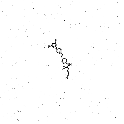 N#CCCCC(=O)N[C@H]1CC[C@H](CCN2CCN(c3cc(F)cc(F)c3)CC2)CC1